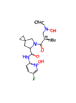 CCCC[C@H](CN(O)C=O)C(=O)N1CC2(CC2)CC1C(=O)Nc1ccc(F)c[n+]1O